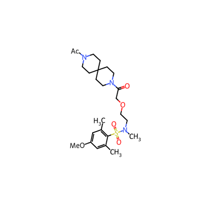 COc1cc(C)c(S(=O)(=O)N(C)CCOCC(=O)N2CCC3(CCN(C(C)=O)CC3)CC2)c(C)c1